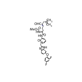 COC(=O)N[C@@H](CC/C=C(\C=O)CN(C)C)C(=O)Nc1cccn(Cc2nc3ccc(Oc4ccc(F)cc4F)cc3[nH]2)c1=O